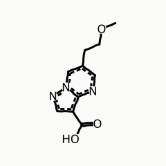 COCCc1cnc2c(C(=O)O)cnn2c1